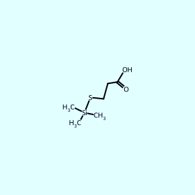 C[Si](C)(C)SCCC(=O)O